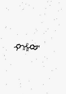 Cc1ccc(CNC(=O)Nc2ccc3[nH]ccc3c2)cc1C